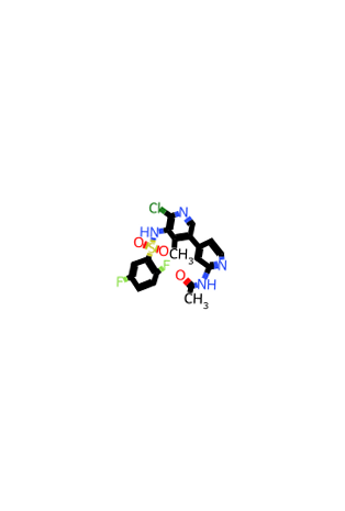 CC(=O)Nc1cc(-c2cnc(Cl)c(NS(=O)(=O)c3cc(F)ccc3F)c2C)ccn1